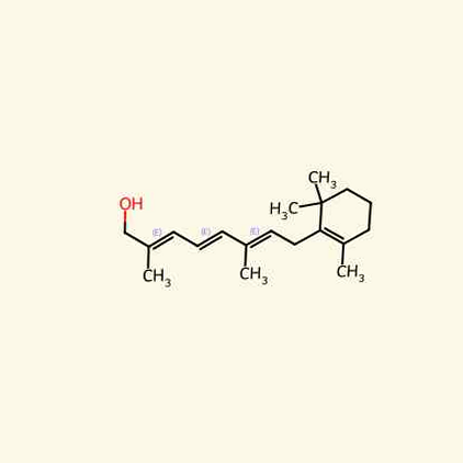 CC1=C(C/C=C(C)/C=C/C=C(\C)CO)C(C)(C)CCC1